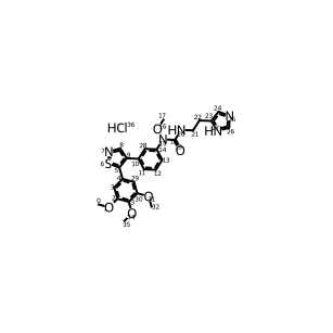 COc1cc(-c2sncc2-c2cccc(N(OC)C(=O)NCCc3cnc[nH]3)c2)cc(OC)c1OC.Cl